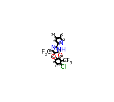 Cc1cnc(-c2nc(C(F)(F)F)c(Oc3ccc(Cl)c(C(F)(F)F)c3)c(=O)[nH]2)cc1C